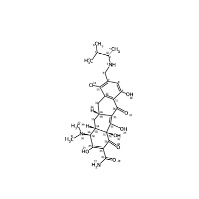 CC(C)[C@H](C)NCc1cc(O)c2c(c1Cl)C[C@H]1C[C@H]3[C@H](N(C)C)C(O)=C(C(N)=O)C(=O)[C@@]3(O)C(O)=C1C2=O